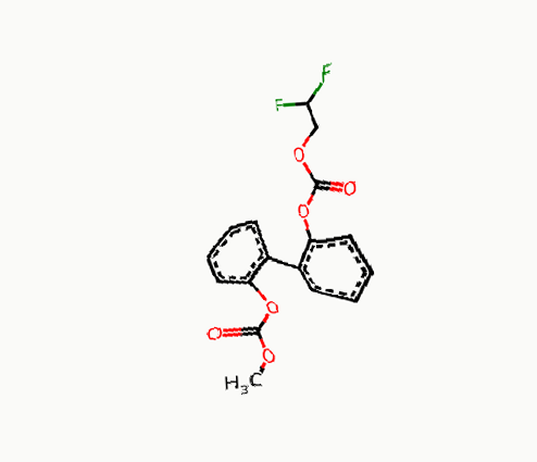 COC(=O)Oc1ccccc1-c1ccccc1OC(=O)OCC(F)F